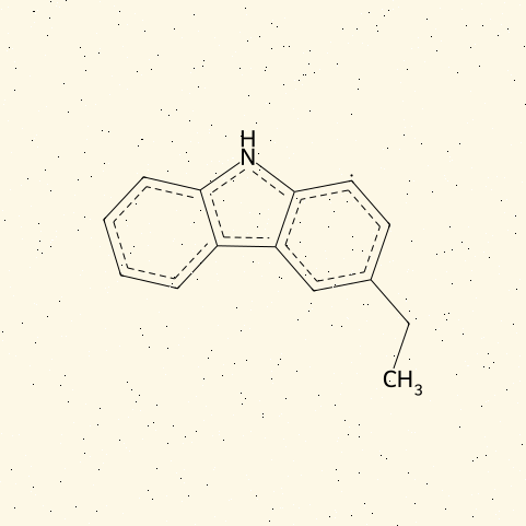 CCc1c[c]c2[nH]c3ccccc3c2c1